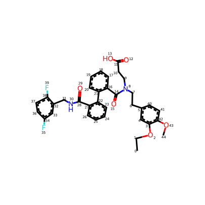 CCOc1cc(CCN(CCC(=O)O)C(=O)c2ccccc2-c2ccccc2C(=O)NCc2cc(F)ccc2F)ccc1OC